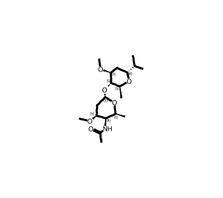 CO[C@H]1C[C@H](O[C@H]2[C@H](C)O[C@@H](C(C)C)C[C@@H]2OC)O[C@@H](C)[C@H]1NC(C)=O